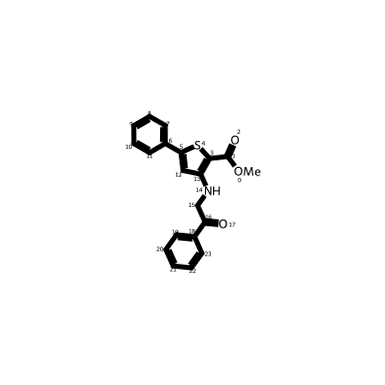 COC(=O)c1sc(-c2ccccc2)cc1NCC(=O)c1ccccc1